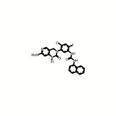 CCN1C(=O)N(c2cc(NC(=O)Nc3cccc4ccccc34)c(F)cc2Cl)Cc2cnc(NC)cc21